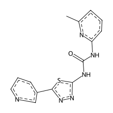 Cc1cccc(NC(=O)Nc2nnc(-c3cccnc3)s2)n1